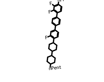 CCCCCC1CCC(C2CCC(c3ccc(-c4ccc(-c5ccc(CCC)c(F)c5F)cc4)cc3F)CC2)CC1